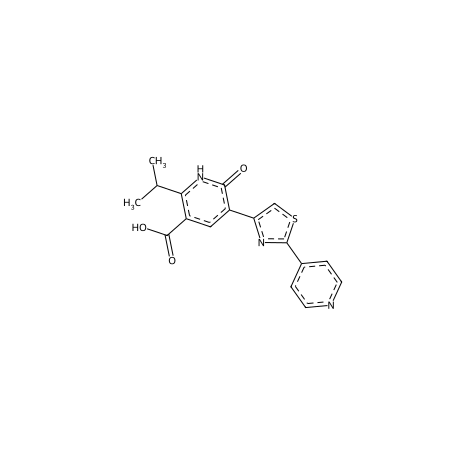 CC(C)c1[nH]c(=O)c(-c2csc(-c3ccncc3)n2)cc1C(=O)O